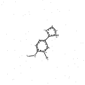 COc1ccc(-c2ncc[nH]2)cc1Br